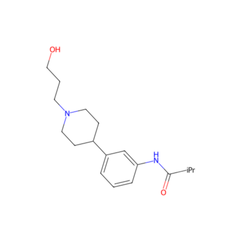 CC(C)C(=O)Nc1cccc(C2CCN(CCCO)CC2)c1